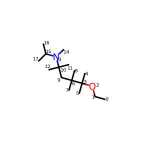 CCOC(C)(C)C(C)(C)CC(C)(C)N(C)C(C)C